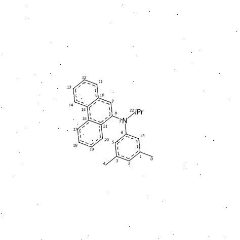 Cc1cc(C)cc(N(c2cc3ccccc3c3ccccc23)C(C)C)c1